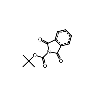 CC(C)(C)OC(=O)N1C(=O)c2ccccc2C1=O